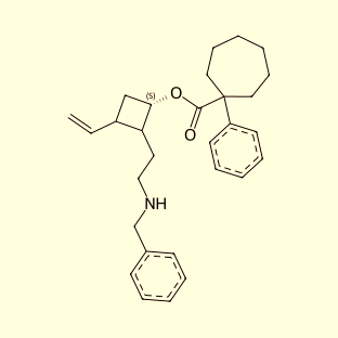 C=CC1C[C@H](OC(=O)C2(c3ccccc3)CCCCCC2)C1CCNCc1ccccc1